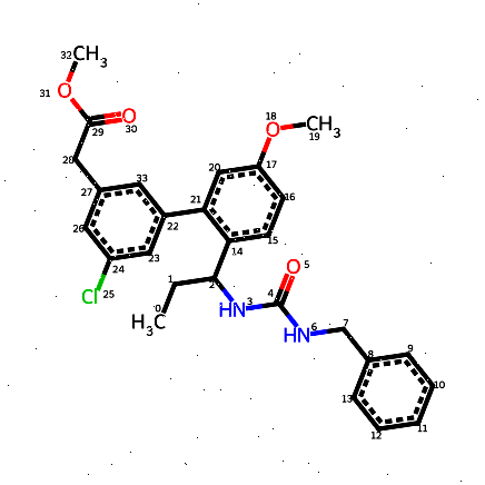 CCC(NC(=O)NCc1ccccc1)c1ccc(OC)cc1-c1cc(Cl)cc(CC(=O)OC)c1